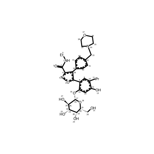 CCNC(=O)c1noc(-c2cc(C(C)C)c(O)cc2O[C@@H]2O[C@H](CO)[C@H](O)[C@H](O)[C@H]2O)c1-c1ccc(CN2CCOCC2)cc1